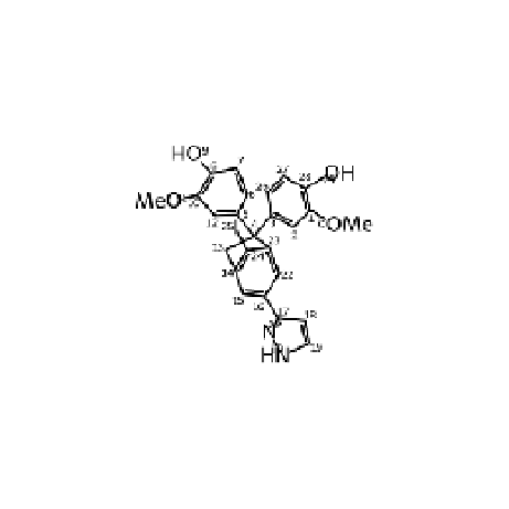 COc1cc(C2(c3ccc(O)c(OC)c3)Cc3cc(-c4cc[nH]n4)cc2c3I)ccc1O